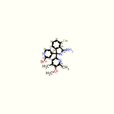 COc1c(C)cc(C2(c3ccnc(Br)c3)N=C(N)c3c(F)cccc32)nc1C